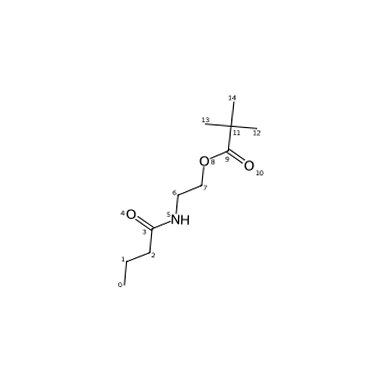 CCCC(=O)NCCOC(=O)C(C)(C)C